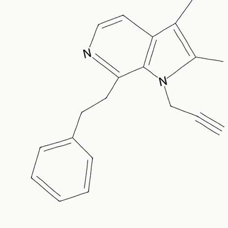 C#CCn1c(C)c(C)c2ccnc(CCc3ccccc3)c21